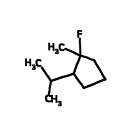 CC(C)C1CCCC1(C)F